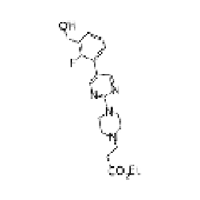 CCOC(=O)CCN1CCN(c2ncc(-c3cccc(CO)c3F)cn2)CC1